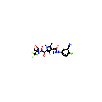 Cc1c(C(=O)Nc2ccc(F)c(C#N)c2)c(C)n(C)c1C(=O)C(=O)NC1(C(F)(F)F)COC1